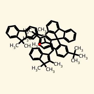 CC1=C(/C=C\C(C)N(c2ccc3c(c2)C(C)(C)c2ccccc2-3)c2cccc3c2C2(c4cc(C(C)(C)C)ccc4-c4ccc(C(C)(C)C)cc42)c2ccccc2-3)c2ccccc2C1(C)C